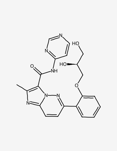 Cc1nc2ccc(-c3ccccc3OC[C@@H](O)CO)nn2c1C(=O)Nc1ccncn1